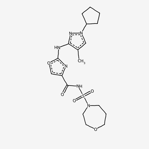 Cc1cn(C2CCCC2)nc1Nc1nc(C(=O)NS(=O)(=O)N2CCCOCC2)co1